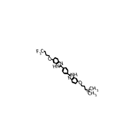 CN(C)CCCOc1ccc2nc(-c3ccc(-c4nc5ccc(OCCCC(F)(F)F)cc5[nH]4)cc3)[nH]c2c1